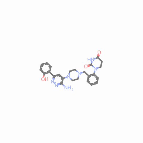 Nc1nnc(-c2ccccc2O)cc1N1CCN(Cc2ccccc2N2CCC(=O)NC2=O)CC1